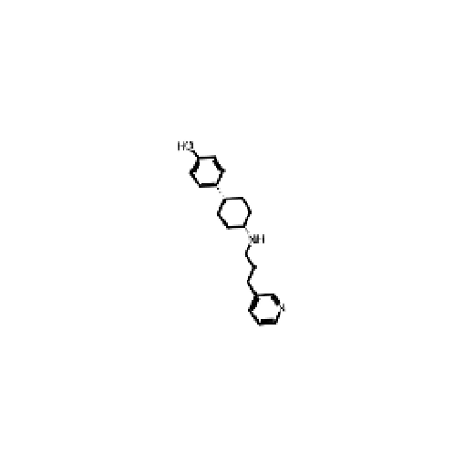 Oc1ccc([C@H]2CC[C@@H](NCCCc3cccnc3)CC2)cc1